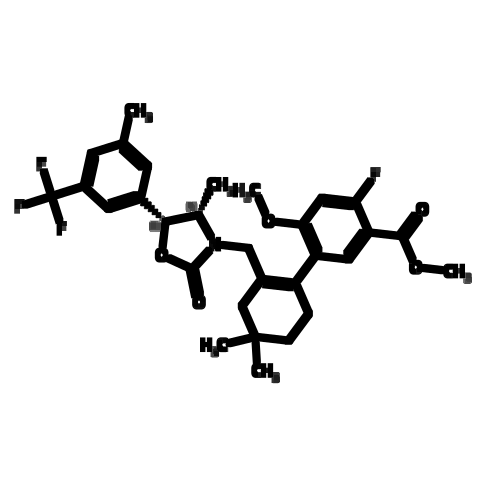 COC(=O)c1cc(C2=C(CN3C(=O)O[C@H](c4cc(C)cc(C(F)(F)F)c4)[C@@H]3C)CC(C)(C)CC2)c(OC)cc1F